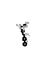 CC(Cc1cc(N=C(N)NCC(=O)O)on1)c1ccc(-c2ccccc2F)cc1